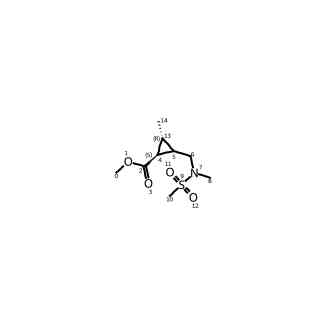 COC(=O)[C@@H]1C(CN(C)S(C)(=O)=O)[C@H]1C